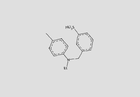 CCN(Cc1cccc(S(=O)(=O)O)c1)c1ccc(C)cc1